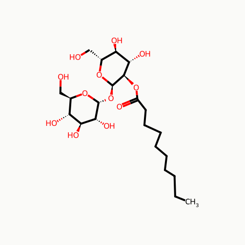 CCCCCCCCCC(=O)O[C@H]1[C@@H](O[C@H]2O[C@H](CO)[C@@H](O)[C@H](O)[C@H]2O)O[C@H](CO)[C@@H](O)[C@@H]1O